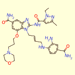 CCn1nc(C)cc1C(=O)Nc1nc2cc(C(N)=O)cc(OCCCN3CCOCC3)c2n1C/C=C/CNc1ccc(C(N)=O)cc1N